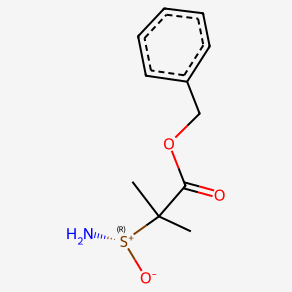 CC(C)(C(=O)OCc1ccccc1)[S@@+](N)[O-]